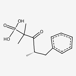 C[C@@H](Cc1ccccc1)C(=O)C(C)(C)P(=O)(O)O